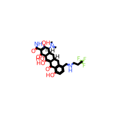 CN(C)[C@@H]1C(O)=C(C(N)=O)C(=O)[C@@]2(O)C(O)=C3C(=O)c4c(O)ccc(CNCCC(F)(F)F)c4C[C@H]3C[C@@H]12